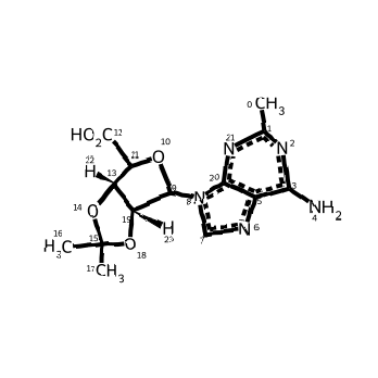 Cc1nc(N)c2ncn(C3OC(C(=O)O)[C@H]4OC(C)(C)O[C@@H]34)c2n1